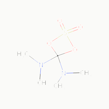 CN(C)C1(N(C)C)OS(=O)(=O)O1